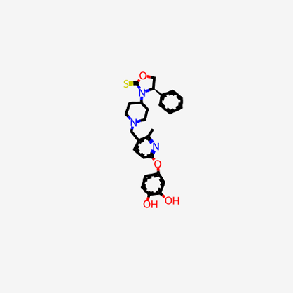 Cc1nc(Oc2ccc(O)c(O)c2)ccc1CN1CCC(N2C(=S)OC[C@H]2c2ccccc2)CC1